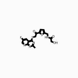 Cc1nc(SCC(=O)c2ccc(CNC(=O)CO)s2)c2cc(F)cnc2n1